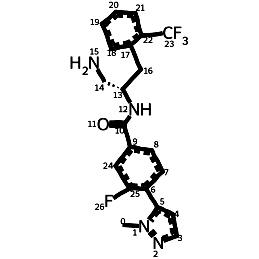 Cn1nccc1-c1ccc(C(=O)N[C@H](CN)Cc2ccccc2C(F)(F)F)cc1F